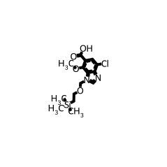 COc1c(C(=O)O)cc(Cl)c2ncn(COCC[Si](C)(C)C)c12